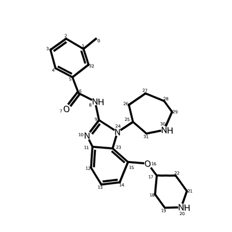 Cc1cccc(C(=O)Nc2nc3cccc(OC4CCNCC4)c3n2C2CCCCNC2)c1